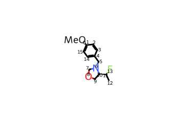 COc1ccc(CN2COC[C@@H]2C(C)F)cc1